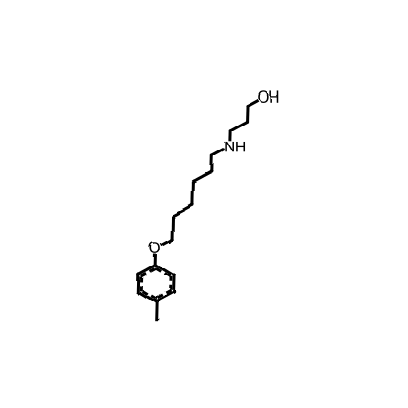 Cc1ccc(OCCCCCCNCCCO)cc1